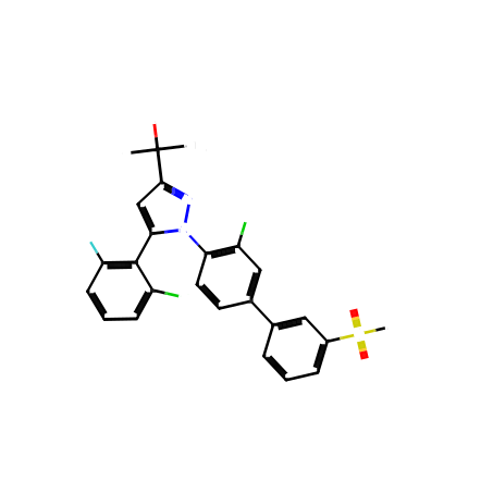 CC(C)(O)c1cc(-c2c(F)cccc2Cl)n(-c2ccc(-c3cccc(S(C)(=O)=O)c3)cc2Cl)n1